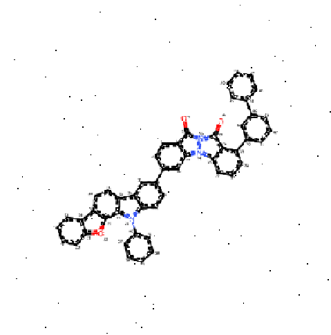 O=c1c2ccc(-c3ccc4c(c3)c3ccc5c6ccccc6oc5c3n4-c3ccccc3)cc2n2c3cccc(-c4cccc(-c5ccccc5)c4)c3c(=O)n12